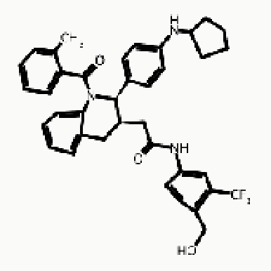 Cc1ccccc1C(=O)N1c2ccccc2C[C@H](CC(=O)Nc2ccc(CO)c(C(F)(F)F)c2)[C@@H]1c1ccc(NC2CCCC2)cc1